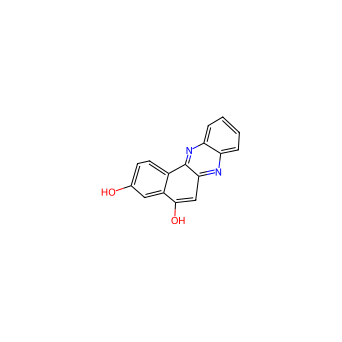 Oc1ccc2c(c1)c(O)cc1nc3ccccc3nc12